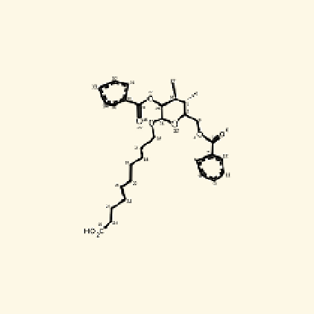 C[C@@H]1C(COC(=O)c2ccccc2)O[C@@H](OCCCCCCCCCC(=O)O)C(OC(=O)c2ccccc2)[C@H]1C